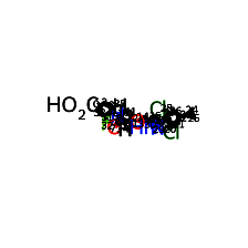 O=C(O)c1ccc(N2C(=O)[C@@H]3C[C@H]2C[C@H]3OCc2cc(-c3c(Cl)cc(C4CC4)cc3Cl)n[nH]2)c(F)c1